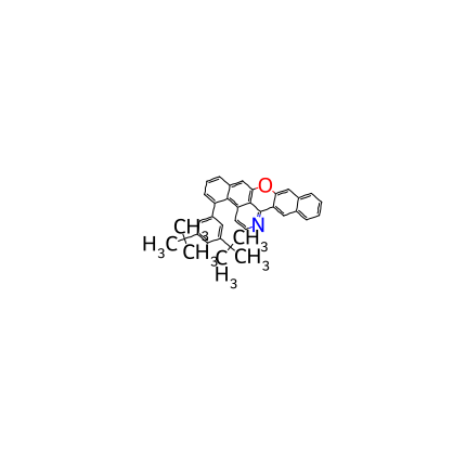 CC(C)(C)c1cc(-c2cccc3cc4c5c(nccc5c23)-c2cc3ccccc3cc2O4)cc(C(C)(C)C)c1